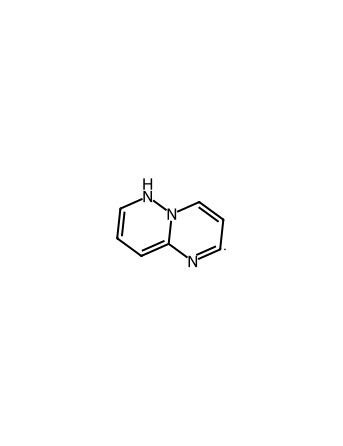 [C]1=NC2=CC=CNN2C=C1